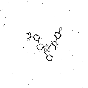 COC(=O)c1cccc(N2CCCC(NC(=O)c3sc(-c4ccc(Cl)cc4)nc3C)(OCc3ccccc3)C2)c1